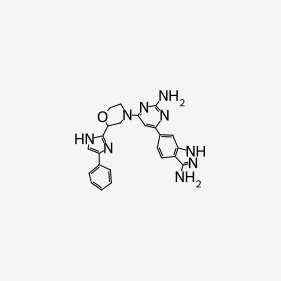 Nc1nc(-c2ccc3c(N)n[nH]c3c2)cc(N2CCOC(c3nc(-c4ccccc4)c[nH]3)C2)n1